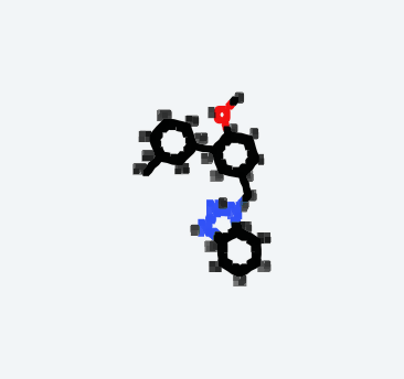 COc1ccc(Cn2nnc3ccccc32)cc1-c1cccc(C)c1